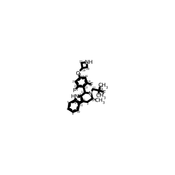 C[C@@H]1Cc2c([nH]c3ccccc23)C(c2c(F)cc(OC3CNC3)cc2F)N1CC(C)(C)F